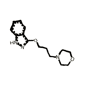 c1ccc2c(OCCCN3CCOCC3)n[nH]c2c1